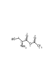 CC(C)C[C@H](N)C(=O)OC(=O)C(F)(F)F